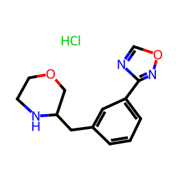 Cl.c1cc(CC2COCCN2)cc(-c2ncon2)c1